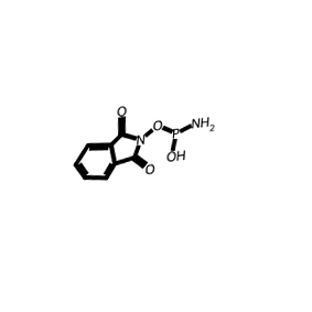 NP(O)ON1C(=O)c2ccccc2C1=O